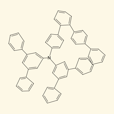 c1ccc(-c2ccc(-c3ccccc3-c3ccc(N(c4cc(-c5ccccc5)cc(-c5ccccc5)c4)c4cc(-c5ccccc5)cc(-c5ccccc5)c4)cc3)cc2)cc1